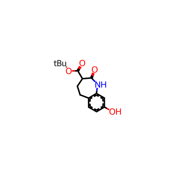 CC(C)(C)OC(=O)C1CCc2ccc(O)cc2NC1=O